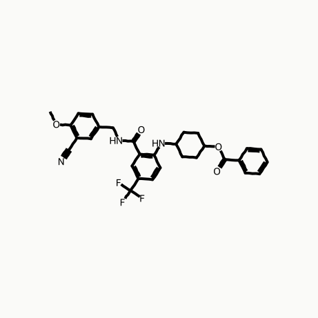 COc1ccc(CNC(=O)c2cc(C(F)(F)F)ccc2NC2CCC(OC(=O)c3ccccc3)CC2)cc1C#N